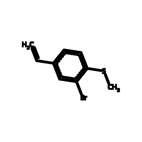 C=Cc1ccc(SC)c(Br)c1